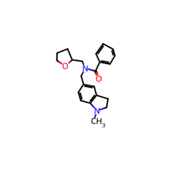 CN1CCc2cc(CN(CC3CCCO3)C(=O)c3ccccc3)ccc21